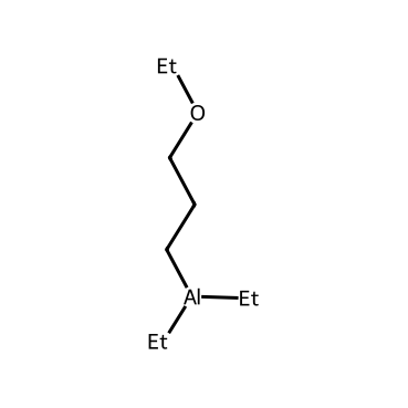 CCOCC[CH2][Al]([CH2]C)[CH2]C